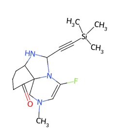 CN1C=C(F)N2C(C#C[Si](C)(C)C)NC3CCCC(=O)C32C1